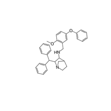 COc1ccc(Oc2ccccc2)cc1CNC1C2CCN(C2)C1C(c1ccccc1)c1ccccc1